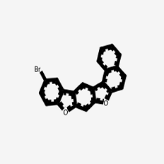 Brc1ccc2oc3cc4oc5ccc6ccccc6c5c4cc3c2c1